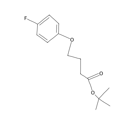 CC(C)(C)OC(=O)CCCOc1ccc(F)cc1